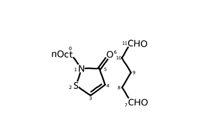 CCCCCCCCn1sccc1=O.O=CCCCC=O